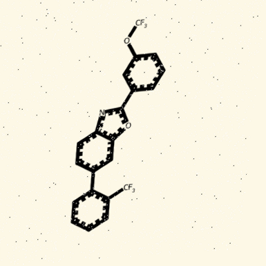 FC(F)(F)Oc1cccc(-c2nc3ccc(-c4ccccc4C(F)(F)F)cc3o2)c1